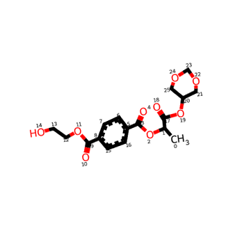 CC(OC(=O)c1ccc(C(=O)OCCO)cc1)C(=O)OC1COCOC1